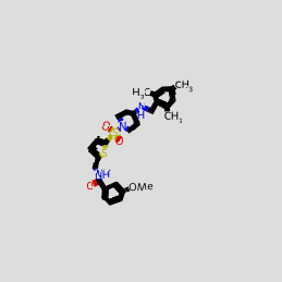 COc1cccc(C(=O)NCc2ccc(S(=O)(=O)N3CCC(NCc4c(C)cc(C)cc4C)CC3)s2)c1